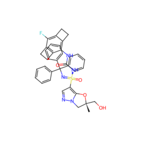 C[C@@]1(CO)Cn2ncc([S@@](=O)(=NC(c3ccccc3)(c3ccccc3)c3ccccc3)NC(=O)Nc3c4c(c(F)c5c3CC5)CC4)c2O1